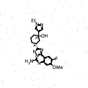 CCn1cc([C@@]2(O)CCC[C@@H](c3nc4c5cc(F)c(OC)cc5nc(N)n4n3)C2)cn1